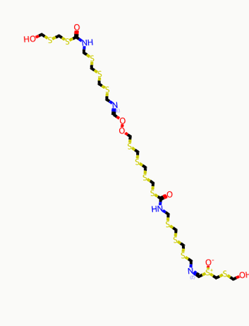 O=C(NCSCSCSC/N=C/OOCSCSCSCSC(=O)NCSCSCSC/N=C\[S+]([O-])CSCO)SCSCO